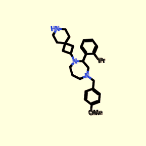 COc1ccc(CN2CCCN(C3CC4(CCNCC4)C3)C(c3ccccc3C(C)C)C2)cc1